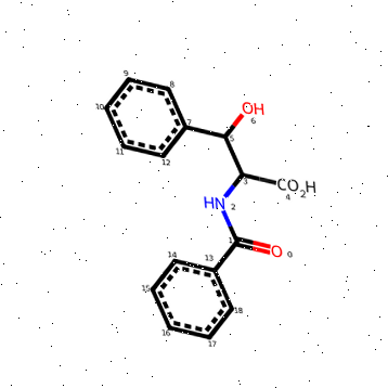 O=C(NC(C(=O)O)C(O)c1ccccc1)c1ccccc1